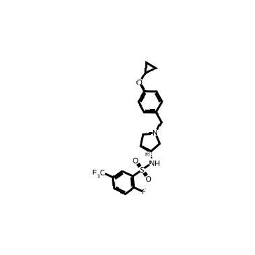 O=S(=O)(N[C@@H]1CCN(Cc2ccc(OC3CC3)cc2)C1)c1cc(C(F)(F)F)ccc1F